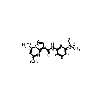 Cc1cc(C)n2ncc(C(=O)Nc3cccc(N(C)C)c3)c2n1